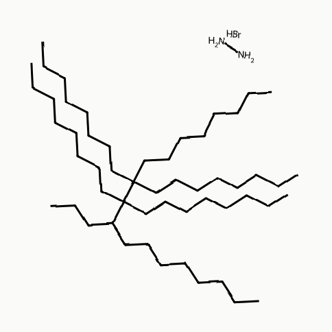 Br.CCCCCCCCC(CCC)C(CCCCCCCC)(CCCCCCCC)C(CCCCCCCC)(CCCCCCCC)CCCCCCCC.NN